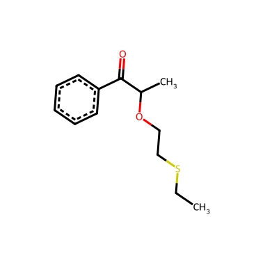 CCSCCOC(C)C(=O)c1ccccc1